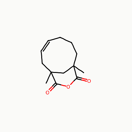 CC12C/C=C\CCCC(C)(C1)C(=O)OC2=O